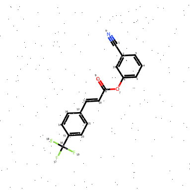 N#Cc1cccc(OC(=O)/C=C/c2ccc(C(F)(F)F)cc2)c1